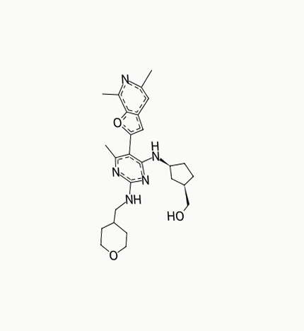 Cc1cc2cc(-c3c(C)nc(NCC4CCOCC4)nc3N[C@H]3CC[C@@H](CO)C3)oc2c(C)n1